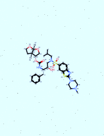 CC(C)CN(C[C@@H](O)[C@H](Cc1ccccc1)NC(=O)O[C@H]1CO[C@H]2OCC[C@H]21)S(=O)(=O)c1ccc2nc(N3CCN(C)CC3)sc2c1